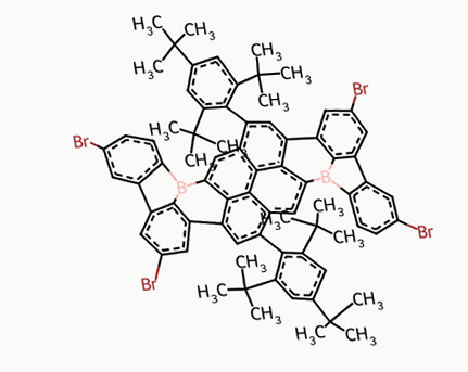 CC(C)(C)c1cc(C(C)(C)C)c(-c2cc3c4c(cc5c(-c6c(C(C)(C)C)cc(C(C)(C)C)cc6C(C)(C)C)cc6c7c(cc2c4c57)B2c4ccc(Br)cc4-c4cc(Br)cc-6c42)B2c4ccc(Br)cc4-c4cc(Br)cc-3c42)c(C(C)(C)C)c1